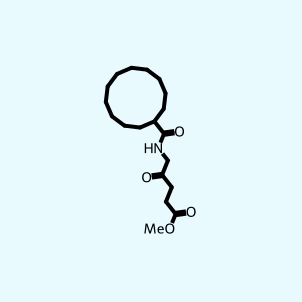 COC(=O)CCC(=O)CNC(=O)C1CCCCCCCCCCC1